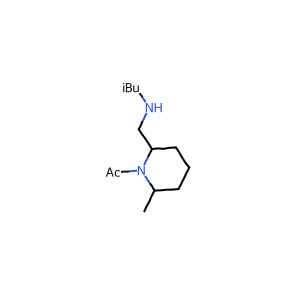 CCC(C)NCC1CCCC(C)N1C(C)=O